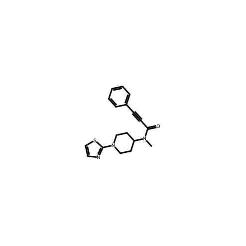 CN(C(=O)C#Cc1ccccc1)C1CCN(c2nccs2)CC1